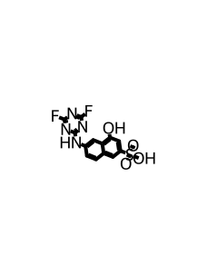 O=S(=O)(O)c1cc(O)c2cc(Nc3nc(F)nc(F)n3)ccc2c1